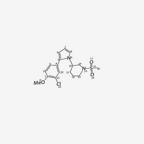 COc1ccc(-c2cccn2C2CCCN(S(C)(=O)=O)C2)cc1Cl